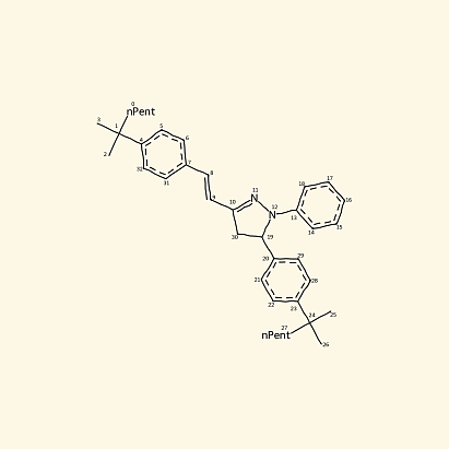 CCCCCC(C)(C)c1ccc(C=CC2=NN(c3ccccc3)C(c3ccc(C(C)(C)CCCCC)cc3)C2)cc1